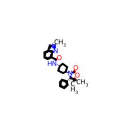 Cn1cc2cccc(C(=O)N[C@H]3CC[C@H](N4C(=O)OC(C)(C)[C@@H]4c4ccccc4)CC3)c2n1